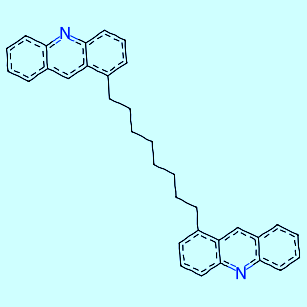 c1ccc2nc3cccc(CCCCCCCCc4cccc5nc6ccccc6cc45)c3cc2c1